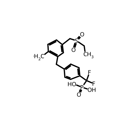 [CH2]c1ccc(CS(=O)(=O)CC)cc1Cc1ccc(C(F)(F)P(=O)(O)O)cc1